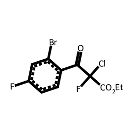 CCOC(=O)C(F)(Cl)C(=O)c1ccc(F)cc1Br